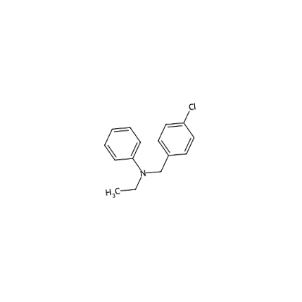 CCN(Cc1ccc(Cl)cc1)c1ccccc1